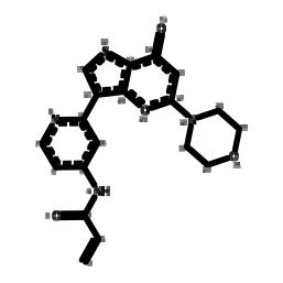 C=CC(=O)Nc1ccnc(-c2csc3c(=O)cc(N4CCOCC4)oc23)c1